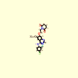 COc1cc2c(Nc3ccc(Cl)cc3F)ncnc2cc1OCCN1C(=O)CCCC1=O